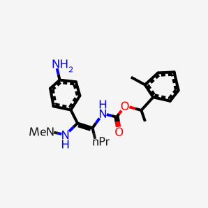 CCC/C(NC(=O)OC(C)c1ccccc1C)=C(\NNC)c1ccc(N)cc1